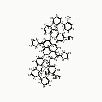 CCc1ccccc1-c1cccc2c1oc1c(N(c3ccc(C(C)C)cc3)c3cc(C4CCCC4)c4ccc5c(N(c6ccc(C(C)C)cc6)c6cccc7c6oc6c(-c8ccccc8CC)cccc67)cc(C6CCCC6)c6ccc3c4c65)cccc12